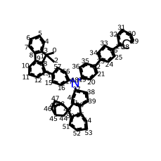 CC1(C)c2ccccc2-c2cccc(-c3ccc(N(c4ccc(-c5ccc(-c6ccccc6)cc5)cc4)c4ccc5c(c4)C4(CC6CCC4C6)c4ccccc4-5)cc3)c21